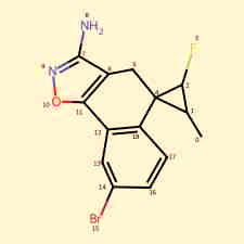 CC1C(F)C12Cc1c(N)noc1-c1cc(Br)ccc12